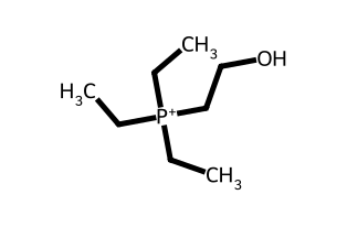 CC[P+](CC)(CC)CCO